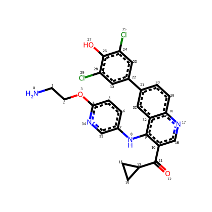 NCCOc1ccc(Nc2c(C(=O)C3CC3)cnc3ccc(-c4cc(Cl)c(O)c(Cl)c4)cc23)cn1